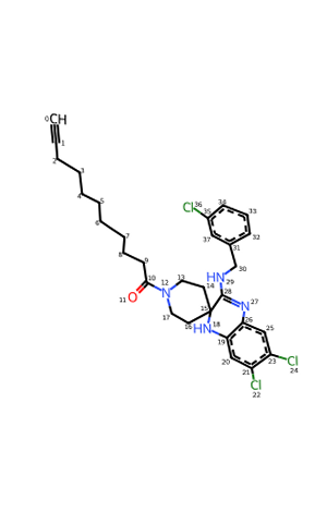 C#CCCCCCCCCC(=O)N1CCC2(CC1)Nc1cc(Cl)c(Cl)cc1N=C2NCc1cccc(Cl)c1